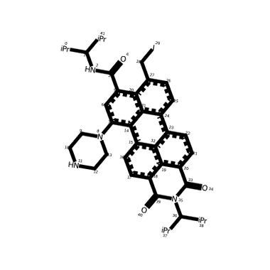 CC(C)C(NC(=O)c1cc(N2CCNCC2)c2c3ccc4c5c(ccc(c6ccc(CI)c1c62)c53)C(=O)N(C(C(C)C)C(C)C)C4=O)C(C)C